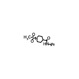 CC(C)NC(=O)C1CCN(S(C)(=O)=O)CC1